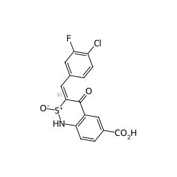 O=C(O)c1ccc2c(c1)C(=O)/C(=C\c1ccc(Cl)c(F)c1)[S+]([O-])N2